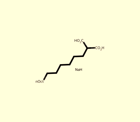 CCCCCCCCCCCCCCC(C(=O)O)C(=O)O.[NaH]